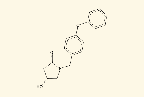 O=C1C[C@@H](O)CN1Cc1ccc(Oc2ccccc2)cc1